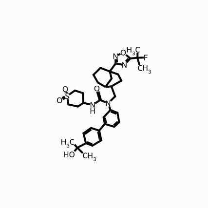 CC(C)(O)c1ccc(-c2cccc(N(CC3CCC4(c5noc(C(C)(C)F)n5)CCCC3C4)C(=O)NC3CCS(=O)(=O)CC3)c2)cc1